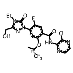 CCn1c(CO)nn(-c2nc(O[C@@H](C)C(F)(F)F)c(C(=O)Nc3nccnc3Cl)cc2F)c1=O